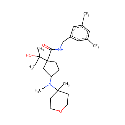 CN(C1CCC(C(=O)NCc2cc(C(F)(F)F)cc(C(F)(F)F)c2)(C(C)(C)O)C1)C1(C)CCOCC1